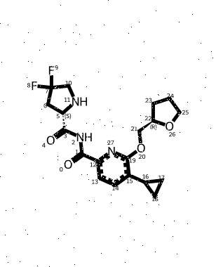 O=C(NC(=O)[C@@H]1CC(F)(F)CN1)c1ccc(C2CC2)c(OC[C@H]2CCCO2)n1